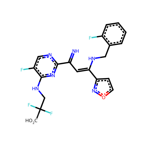 N=C(/C=C(\NCc1ccccc1F)c1ccon1)c1ncc(F)c(NCC(F)(F)C(=O)O)n1